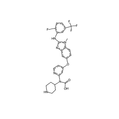 Cn1c(Nc2cc(C(F)(F)F)ccc2F)nc2cc(Oc3ccnc(N(C(=O)O)C4CCNCC4)c3)ccc21